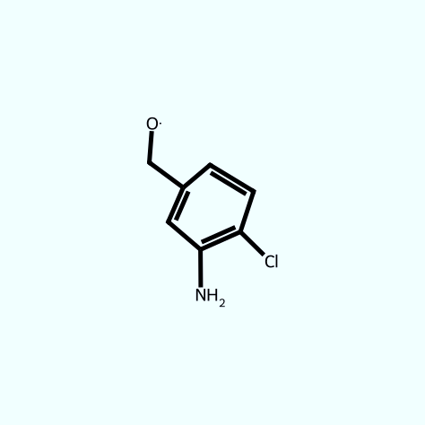 Nc1cc(C[O])ccc1Cl